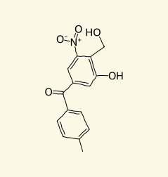 Cc1ccc(C(=O)c2cc(O)c(CO)c([N+](=O)[O-])c2)cc1